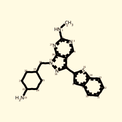 CNc1ncc2c(-c3cc4ccccc4s3)nn(CC3CCC(N)CC3)c2n1